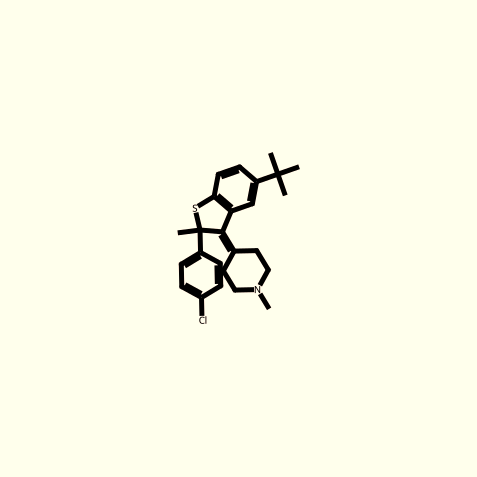 CN1CCC(=C2c3cc(C(C)(C)C)ccc3SC2(C)c2ccc(Cl)cc2)CC1